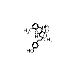 CCCN(C1=C(O)CC(C)(CCc2ccc(O)cc2)OC1=O)c1cccc(C)c1